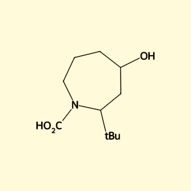 CC(C)(C)C1CC(O)CCCN1C(=O)O